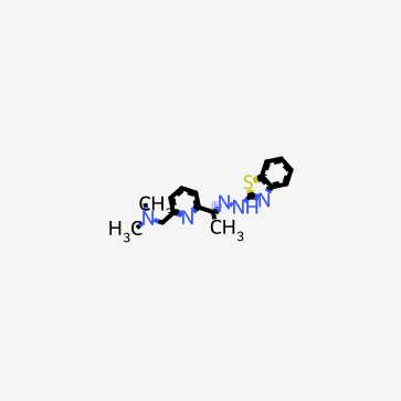 C/C(=N\Nc1nc2ccccc2s1)c1cccc(CN(C)C)n1